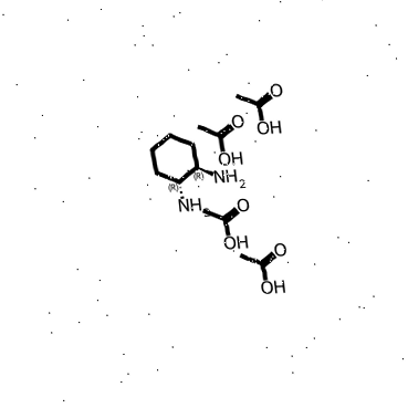 CC(=O)O.CC(=O)O.CC(=O)O.CC(=O)O.N[C@@H]1CCCC[C@H]1N